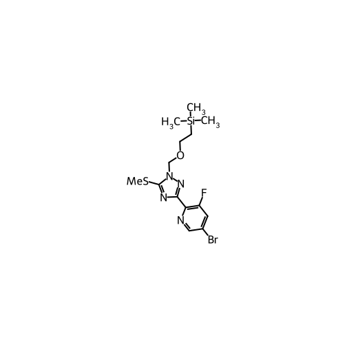 CSc1nc(-c2ncc(Br)cc2F)nn1COCC[Si](C)(C)C